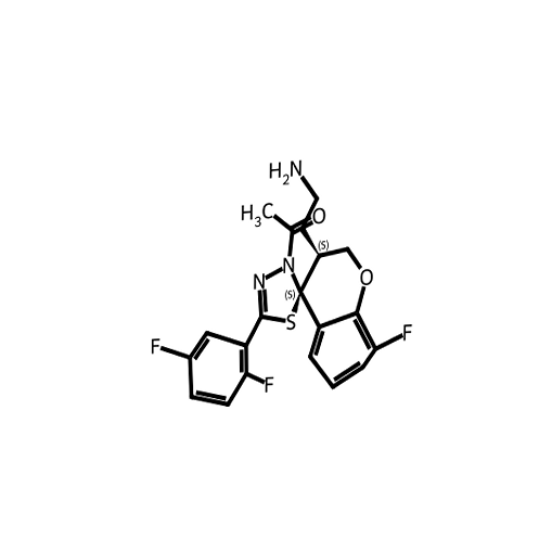 CC(=O)N1N=C(c2cc(F)ccc2F)S[C@@]12c1cccc(F)c1OC[C@@H]2CCN